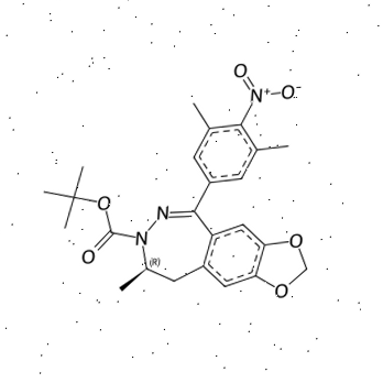 Cc1cc(C2=NN(C(=O)OC(C)(C)C)[C@H](C)Cc3cc4c(cc32)OCO4)cc(C)c1[N+](=O)[O-]